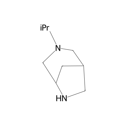 CC(C)N1CC2CNC(C2)C1